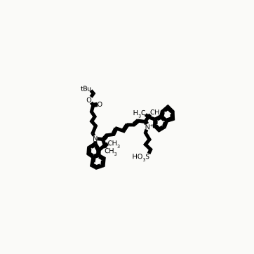 CC(C)(C)COC(=O)CCCCCN1/C(=C/C=C/C=C/C=C/C2=[N+](CCCCS(=O)(=O)O)c3ccc4ccccc4c3C2(C)C)C(C)(C)c2c1ccc1ccccc21